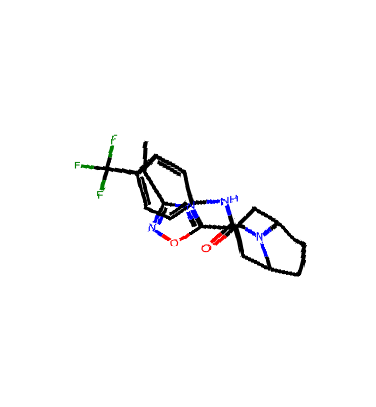 CCc1noc(C2CC3CCC(C2)N3C(=O)Nc2ccc(C(F)(F)F)cc2)n1